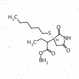 BOC(=O)C(CC)[C@]1(SCCCCCC)CC(=O)NC1=O